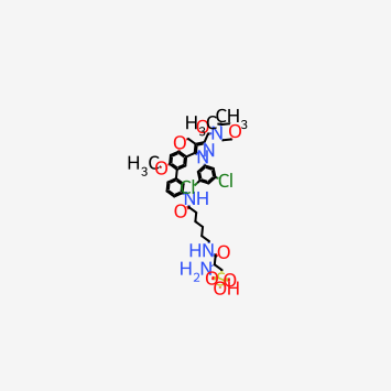 COc1cc2c(cc1-c1cccc(NC(=O)CCCCCNC(=O)[C@@H](N)CS(=O)(=O)O)c1)-c1c(c(C(=O)N3CCOCC3(C)C)nn1-c1cc(Cl)cc(Cl)c1)CO2